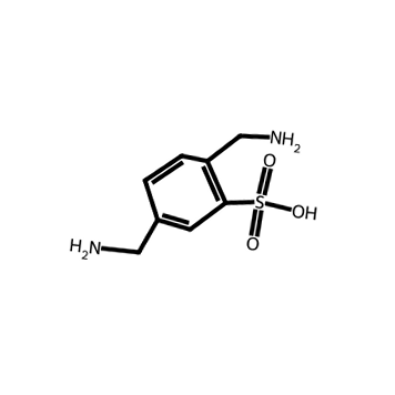 NCc1ccc(CN)c(S(=O)(=O)O)c1